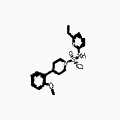 CCc1cccc(NS(=O)(=O)N2CCC(c3ccccc3OC)CC2)n1